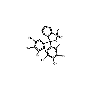 Cc1c(C2(c3cc(C(C)C)c(O)c(Br)c3C)OS(=O)(=O)c3ccccc32)cc(C(C)C)c(O)c1Br